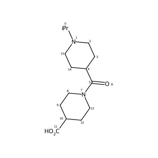 CC(C)N1CCC(C(=O)N2CCC(C(=O)O)CC2)CC1